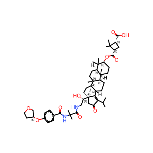 CC(C)C1=C2[C@H]3CC[C@@H]4[C@@]5(C)CC[C@H](OC(=O)[C@H]6C[C@@H](C(=O)O)C6(C)C)C(C)(C)[C@@H]5CC[C@@]4(C)[C@]3(C)CC[C@@]2([C@@H](O)CNC(=O)C(C)(C)NC(=O)c2ccc(O[C@H]3CCOC3)cc2)CC1=O